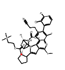 CSc1nc2c(F)c(-c3cccc(F)c3Cl)c(CCC#N)cc2c2c1cc(C1CCCN1C(=O)OCC[Si](C)(C)C)n2[C@H]1[C@@H]2C[C@H]1N(C(=O)O)C2